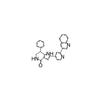 O=C1NCC(c2ccccc2)c2[nH]c(-c3ccnc(-c4cnc5ccccc5c4)c3)cc21